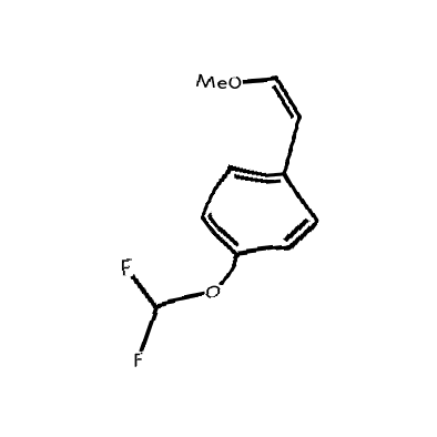 CO/C=C\c1ccc(OC(F)F)cc1